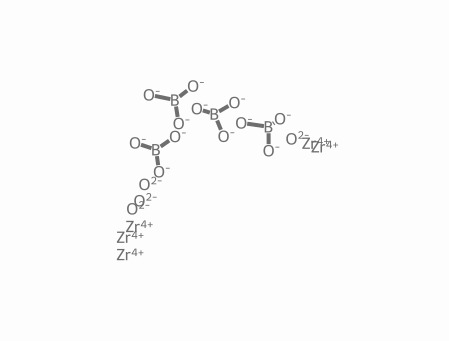 [O-2].[O-2].[O-2].[O-2].[O-]B([O-])[O-].[O-]B([O-])[O-].[O-]B([O-])[O-].[O-]B([O-])[O-].[Zr+4].[Zr+4].[Zr+4].[Zr+4].[Zr+4]